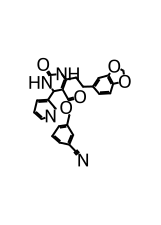 N#Cc1cccc(COC(=O)C2=C(CCc3ccc4c(c3)OCO4)NC(=O)NC2c2cccnc2)c1